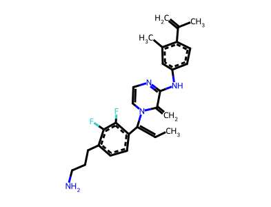 C=C(C)c1ccc(NC2=NC=CN(/C(=C\C)c3ccc(CCCN)c(F)c3F)C2=C)cc1C